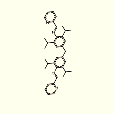 CC(C)c1cc(Cc2cc(C(C)C)c(N=Cc3ccccn3)c(C(C)C)c2)cc(C(C)C)c1N=Cc1ccccn1